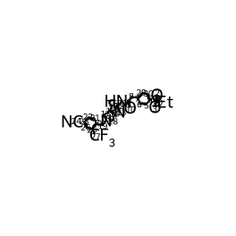 CCS(=O)(=O)c1ccc(CC(=O)Nc2nc3c(s2)CN(Cc2ccc(C#N)cc2C(F)(F)F)C3)cc1